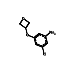 Nc1cc(Cl)cc(OC2COC2)c1